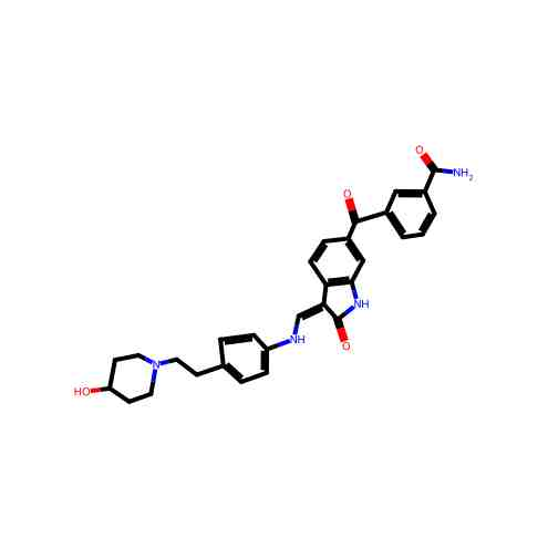 NC(=O)c1cccc(C(=O)c2ccc3c(c2)NC(=O)/C3=C\Nc2ccc(CCN3CCC(O)CC3)cc2)c1